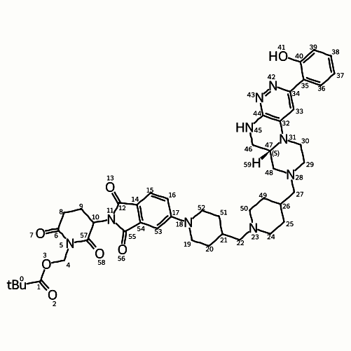 CC(C)(C)C(=O)OCN1C(=O)CCC(N2C(=O)c3ccc(N4CCC(CN5CCC(CN6CCN7c8cc(-c9ccccc9O)nnc8NC[C@H]7C6)CC5)CC4)cc3C2=O)C1=O